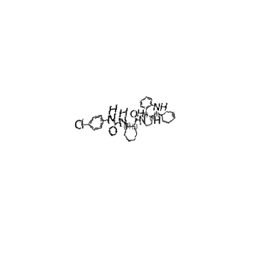 O=C(Nc1ccc(Cl)cc1)N[C@@H]1CCCC[C@@H]1C(=O)N1CC[C@@H]2[C@H](C3C=CC=CC3)Nc3ccccc3[C@@H]21